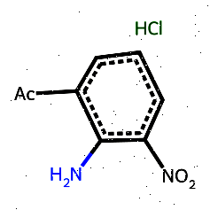 CC(=O)c1cccc([N+](=O)[O-])c1N.Cl